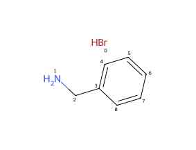 Br.NCc1ccccc1